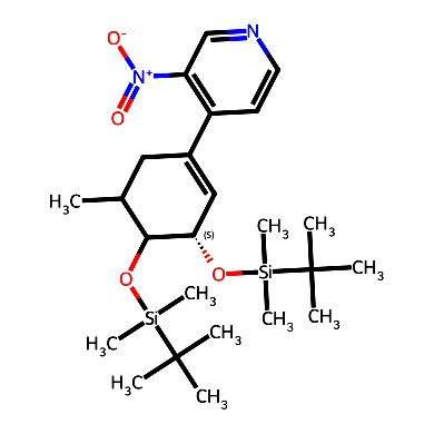 CC1CC(c2ccncc2[N+](=O)[O-])=C[C@H](O[Si](C)(C)C(C)(C)C)C1O[Si](C)(C)C(C)(C)C